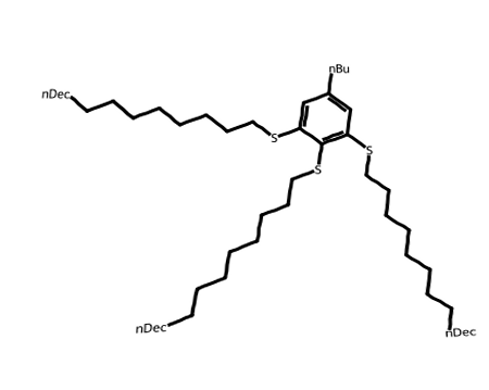 [CH2]CCCc1cc(SCCCCCCCCCCCCCCCCCC)c(SCCCCCCCCCCCCCCCCCC)c(SCCCCCCCCCCCCCCCCCC)c1